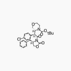 CC(C)(C)OC(=O)N1CCOC[C@H]1[C@@H](C(=O)N1C(=O)OC[C@H]1Cc1ccccc1)c1ccc(Cl)cc1